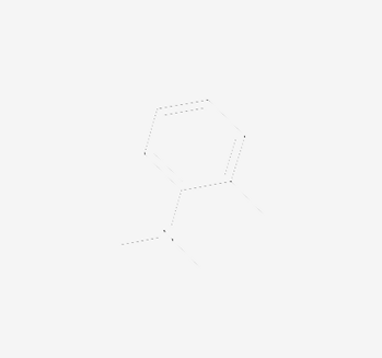 CN(C)c1ccccc1I